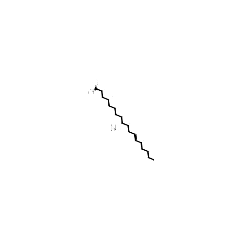 CCCCCC=CCCCCCCCCCCC(=O)[O-].[Na+]